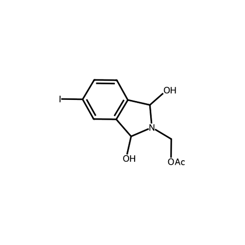 CC(=O)OCN1C(O)c2ccc(I)cc2C1O